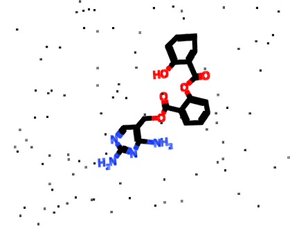 Nc1ncc(COC(=O)c2ccccc2OC(=O)c2ccccc2O)c(N)n1